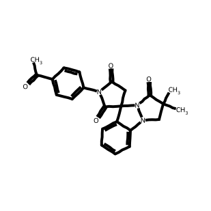 CC(=O)c1ccc(N2C(=O)CC3(C2=O)c2ccccc2N2CC(C)(C)C(=O)N23)cc1